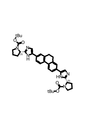 CC(C)(C)OC(=O)N1CCC[C@H]1c1ncc(-c2ccc3c(c2)CCc2cc(-c4cnc([C@@H]5CCCN5C(=O)OC(C)(C)C)[nH]4)ccc2-3)[nH]1